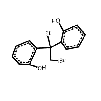 CCC(C)CC(CC)(c1ccccc1O)c1ccccc1O